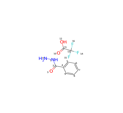 NNC(=O)c1ccccc1.O=C(O)C(F)(F)F